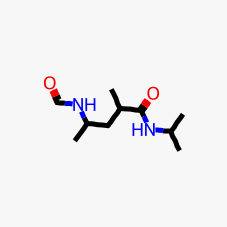 CC(C)NC(=O)C(C)CC(C)NC=O